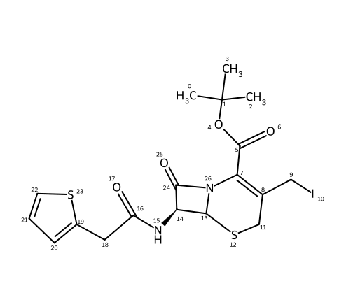 CC(C)(C)OC(=O)C1=C(CI)CSC2[C@@H](NC(=O)Cc3cccs3)C(=O)N12